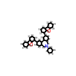 c1ccc(N2Cc3ccc(-c4cccc5c4oc4ccccc45)cc3-c3cc(-c4cccc5c4oc4ccccc45)ccc3C2)cc1